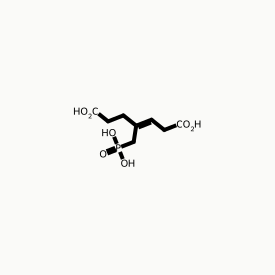 O=C(O)CC=C(CCC(=O)O)CP(=O)(O)O